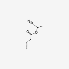 C=CCC(=O)OC(C)C#N